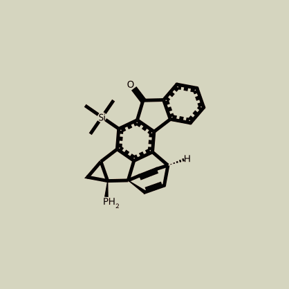 C[Si](C)(C)c1c2c(c3c4c1C1C[C@@]1(P)[C@]41C=C[C@H]3C=C1)-c1ccccc1C2=O